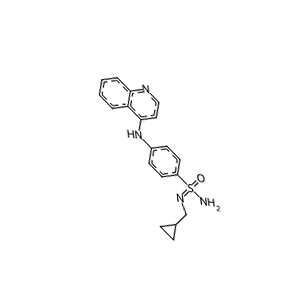 NS(=O)(=NCC1CC1)c1ccc(Nc2ccnc3ccccc23)cc1